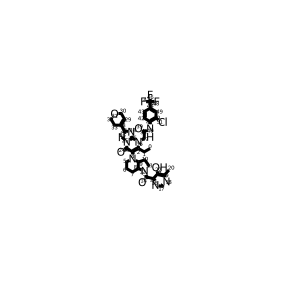 CCc1c(N2CCCC3C2CCN3C(=O)c2ncnc(C)c2O)c(=O)n2nc(C3=CCOCC3)nc2n1CC(=O)Nc1ccc(C(F)(F)F)cc1Cl